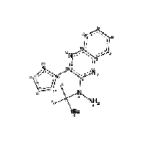 CC(C)(C)C(C)(C)N(N)c1nc2ccccc2nc1-c1cccs1